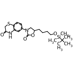 CC(C)(C)[Si](C)(C)OCCCCC1CN(c2ccc3c(c2)NC(=O)CS3)C(=O)O1